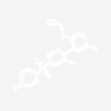 Cc1cc(S(=O)(=O)c2ccc(F)cc2)ccc1-c1cc(Cl)ccc1OCC(=O)O